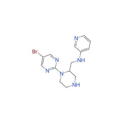 Brc1cnc(N2CCNCC2CNc2cccnc2)nc1